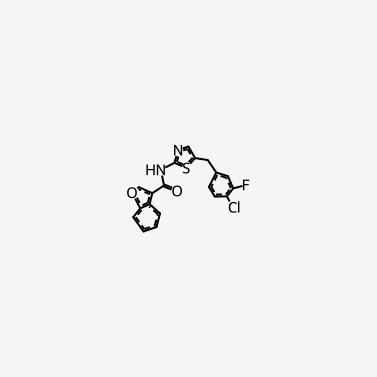 O=C(Nc1ncc(Cc2ccc(Cl)c(F)c2)s1)c1coc2ccccc12